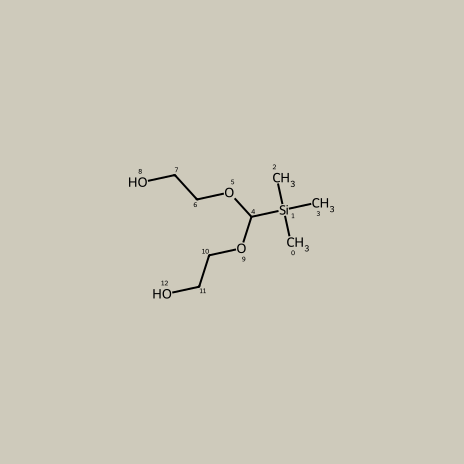 C[Si](C)(C)C(OCCO)OCCO